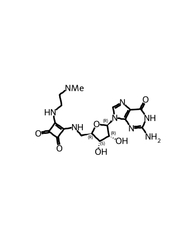 CNCCNc1c(NC[C@H]2O[C@@H](n3cnc4c(=O)[nH]c(N)nc43)[C@H](O)[C@@H]2O)c(=O)c1=O